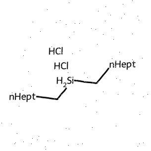 CCCCCCCC[SiH2]CCCCCCCC.Cl.Cl